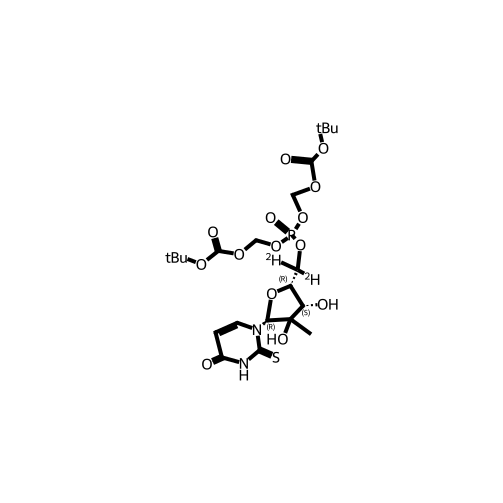 [2H]C([2H])(OP(=O)(OCOC(=O)OC(C)(C)C)OCOC(=O)OC(C)(C)C)[C@H]1O[C@@H](n2ccc(=O)[nH]c2=S)C(C)(O)[C@H]1O